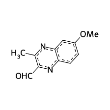 COc1ccc2nc(C=O)c(C)nc2c1